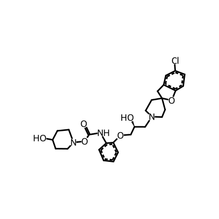 O=C(Nc1ccccc1OC[C@@H](O)CN1CCC2(CC1)Cc1cc(Cl)ccc1O2)ON1CCC(O)CC1